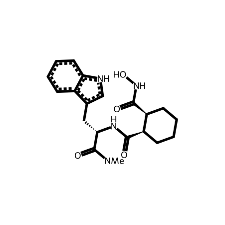 CNC(=O)[C@H](Cc1c[nH]c2ccccc12)NC(=O)[C@@H]1CCCC[C@@H]1C(=O)NO